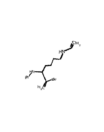 C=CNCCCCC(NC(C)C)C(=C)C(C)(C)C